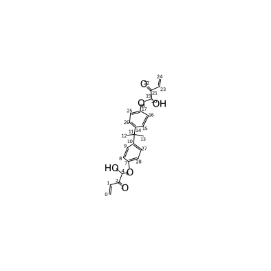 C=CC(=O)C(O)Oc1ccc(C(C)(C)c2ccc(OC(O)C(=O)C=C)cc2)cc1